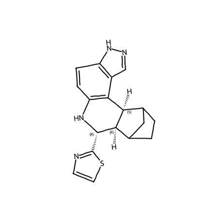 c1csc([C@@H]2Nc3ccc4[nH]ncc4c3[C@H]3C4CCC(C4)[C@@H]23)n1